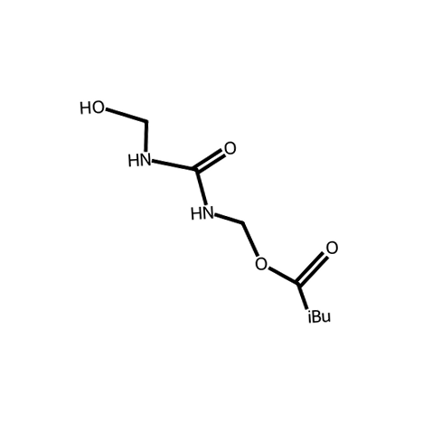 CCC(C)C(=O)OCNC(=O)NCO